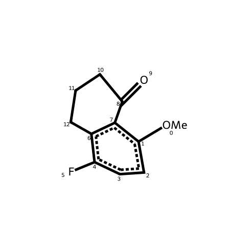 COc1ccc(F)c2c1C(=O)CCC2